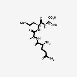 CC[C@H](C)[C@H](NC(=O)[C@H](CCSC)NC(=O)[C@H](C)NC(=O)[C@@H](N)CCC(N)=O)C(=O)O